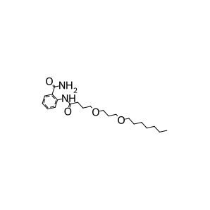 CCCCCCCOCCCOCCCC(=O)Nc1ccccc1C(N)=O